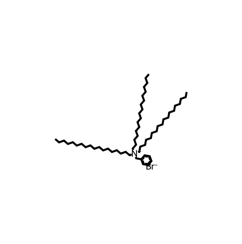 CCCCCCCCCCCCCCCCCC[N+](CCCCCCCCCCCCCCCCCC)(CCCCCCCCCCCCCCCCCC)Cc1ccccc1.[Br-]